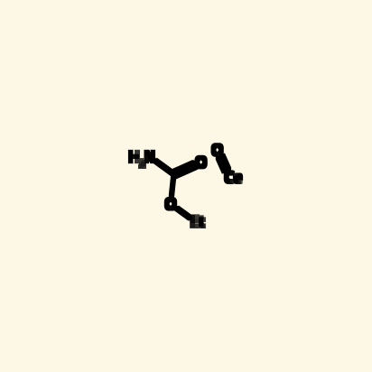 CCOC(N)=O.[O]=[Ce]